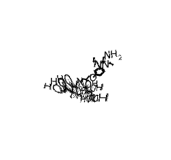 CCn1c(CN)[n+](CC)c2cc(OCCCN(C[C@H](O)[C@@H](O)[C@H](O)[C@H](O)CO)C[C@H](O)[C@@H](O)[C@H](O)[C@H](O)CO)ccc21.Cl